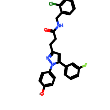 [O]c1ccc(-n2nc(CCC(=O)NCc3ccccc3Cl)cc2-c2cccc(F)c2)cc1